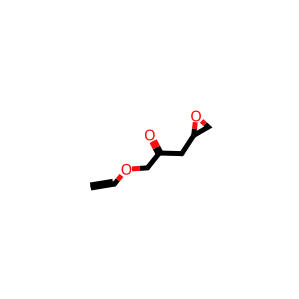 C=COCC(=O)CC1CO1